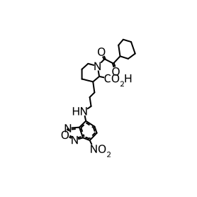 O=C(C(=O)N1CCCC(CCCNc2ccc([N+](=O)[O-])c3nonc23)C1C(=O)O)C1CCCCC1